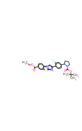 CCOC(=O)c1ccc2c(c1)sc1nc(-c3ccc(C4CCCN4C(=O)OC(C)(C)C)cc3F)cn12